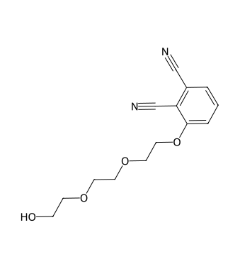 N#Cc1cccc(OCCOCCOCCO)c1C#N